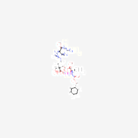 C[C@H](NC(=O)OCc1ccccc1)C(=O)OCC(CO)(CO)CCn1cnc2c(=O)[nH]c(N)nc21